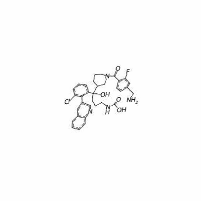 NCc1ccc(C(=O)N2CCCC(C(O)(CCCNC(=O)O)c3cccc(Cl)c3-c3cnc4ccccc4c3)C2)c(F)c1